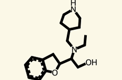 CCN(CC1CCNCC1)C(CO)C1Cc2ccccc2O1